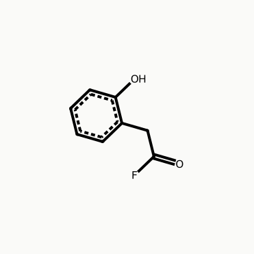 O=C(F)Cc1ccccc1O